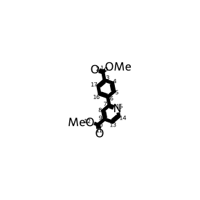 COC(=O)c1ccc(-c2cc(C(=O)OC)ccn2)cc1